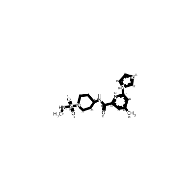 CNS(=O)(=O)N1CCC(NC(=O)c2cc(C)cc(-n3ccnc3)n2)CC1